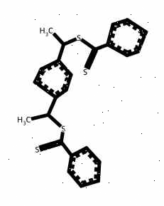 CC(SC(=S)c1ccccc1)c1ccc(C(C)SC(=S)c2ccccc2)cc1